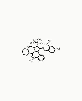 COc1cc(Cl)ccc1COC1C(c2ccccc2OC)N(C(=O)C2CCCCC2)[C@@H](C(=O)O)[C@@H]1C(C)(C)C